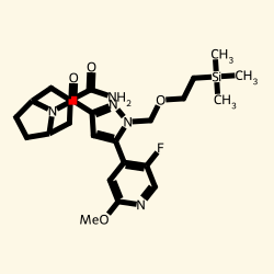 COc1cc(-c2cc(C(=O)N3C4CCC3CC(C(N)=O)C4)nn2COCC[Si](C)(C)C)c(F)cn1